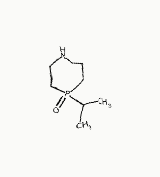 CC(C)P1(=O)CCNCC1